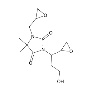 CC1(C)C(=O)N(C(CCO)C2CO2)C(=O)N1CC1CO1